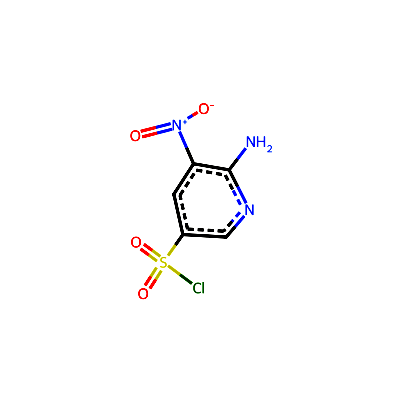 Nc1ncc(S(=O)(=O)Cl)cc1[N+](=O)[O-]